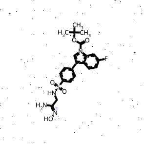 CC(C)(C)OC(=O)n1cc(-c2ccc(S(=O)(=O)NC/C(N)=N/O)cc2)c2ccc(F)cc21